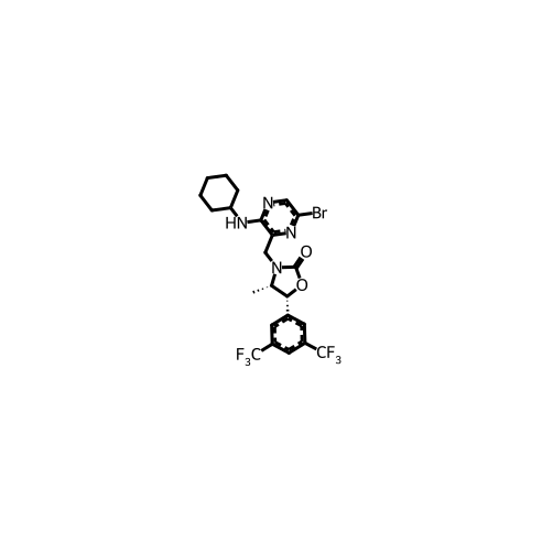 C[C@H]1[C@@H](c2cc(C(F)(F)F)cc(C(F)(F)F)c2)OC(=O)N1Cc1nc(Br)cnc1NC1CCCCC1